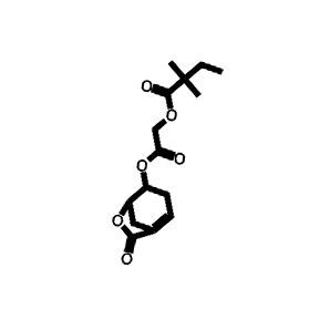 CCC(C)(C)C(=O)OCC(=O)OC1CC=C2CC1OC2=O